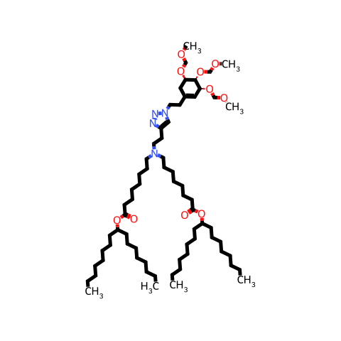 CCCCCCCCC(CCCCCCCC)OC(=O)CCCCCCCN(CCCCCCCC(=O)OC(CCCCCCCC)CCCCCCCC)CCc1cn(CCC2=C[C@@H](OCOC)[C@@H](OCOC)[C@H](OCOC)C2)nn1